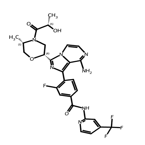 C[C@H](O)C(=O)N1C[C@H](c2nc(-c3ccc(C(=O)Nc4cc(C(F)(F)F)ccn4)cc3F)c3c(N)nccn23)OC[C@@H]1C